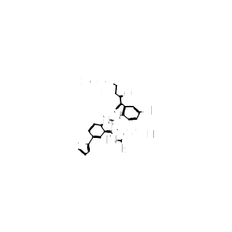 CCC(Nc1nc(-n2cc(C(=O)CCC(=O)O)c3cc(Cl)ccc32)nc2ccc(-c3ccco3)cc12)C(=O)O